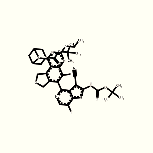 CCSc1nc(N2C3CC2CN(C(=O)OC(C)(C)C)C3)c2c3c(c(-c4ncc(F)c5sc(NC(=O)OC(C)(C)C)c(C#N)c45)c(F)c2n1)COC3